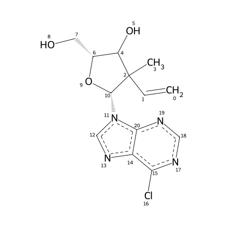 C=CC1(C)C(O)[C@@H](CO)O[C@H]1n1cnc2c(Cl)ncnc21